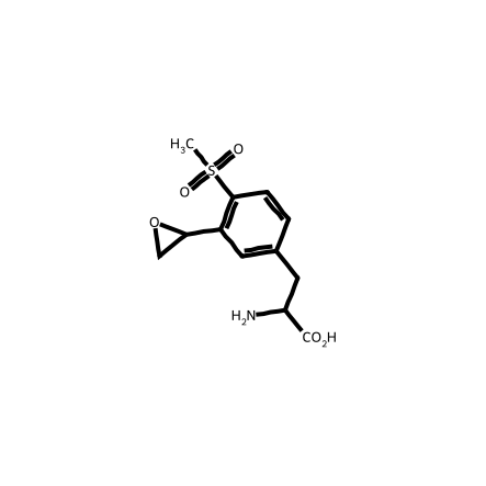 CS(=O)(=O)c1ccc(CC(N)C(=O)O)cc1C1CO1